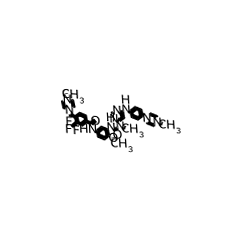 COc1ccc(NC(=O)c2ccc(CN3CCN(C)CC3)c(C(F)(F)F)c2)cc1NC(=O)N(C)c1cc(Nc2ccc(N3CCN(C)CC3)cc2)ncn1